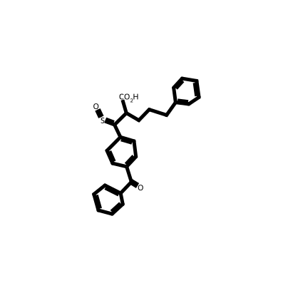 O=S=C(c1ccc(C(=O)c2ccccc2)cc1)C(CCCc1ccccc1)C(=O)O